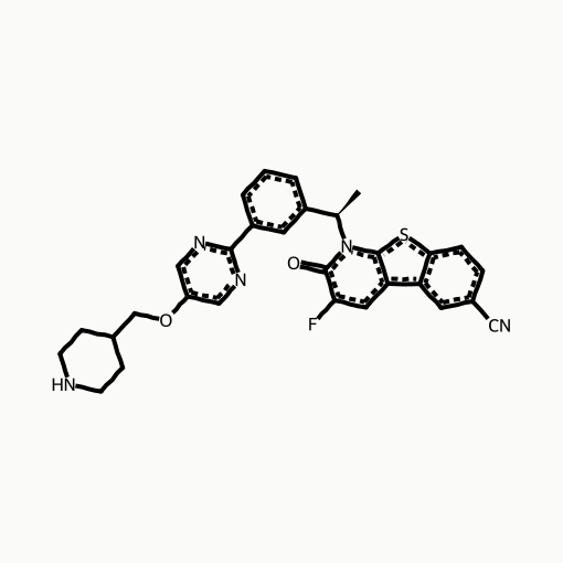 C[C@H](c1cccc(-c2ncc(OCC3CCNCC3)cn2)c1)n1c(=O)c(F)cc2c3cc(C#N)ccc3sc21